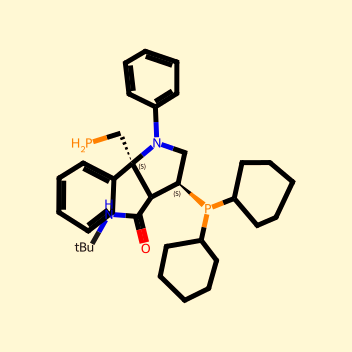 CC(C)(C)NC(=O)C1[C@H](P(C2CCCCC2)C2CCCCC2)CN(c2ccccc2)[C@]1(CP)c1ccccc1